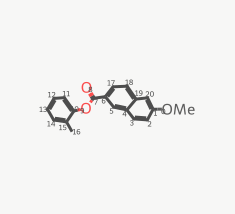 COc1ccc2cc(C(=O)Oc3ccccc3C)ccc2c1